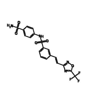 NS(=O)(=O)c1ccc(NS(=O)(=O)c2cccc(C=Cc3noc(C(F)(F)F)n3)c2)cc1